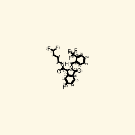 O=C(NCCCC(F)F)C1c2cc(F)ccc2C(=O)N1Cc1ccccc1C(F)(F)F